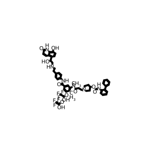 Cc1ccc(C(=O)Nc2ccc(CCNCC(O)c3ccc(O)c4[nH]c(=O)ccc34)cc2)cc1N(C)C(=O)CCN1CCC(OC(=O)Nc2ccccc2-c2ccccc2)CC1.O=C(O)C(F)(F)F.O=C(O)C(F)(F)F